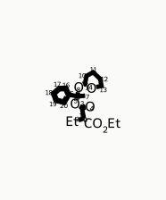 CCOC(=O)C(CC)C(=O)OC(C)(OC1CCCCO1)c1ccccc1